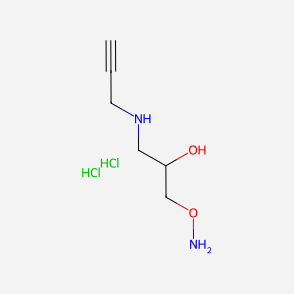 C#CCNCC(O)CON.Cl.Cl